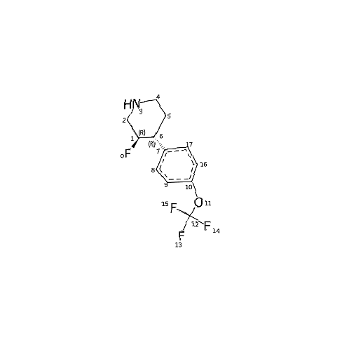 F[C@H]1CNCC[C@@H]1c1ccc(OC(F)(F)F)cc1